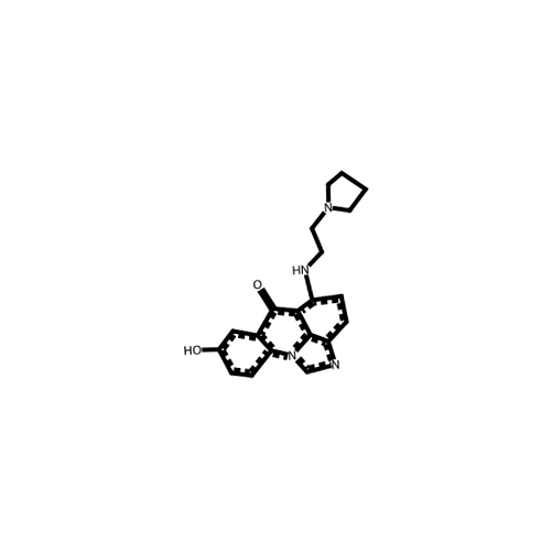 O=c1c2cc(O)ccc2n2cnc3ccc(NCCN4CCCC4)c1c32